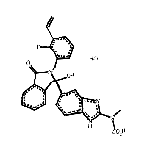 C=Cc1cccc(N2C(=O)c3ccccc3C2(O)c2ccc3[nH]c(N(C)C(=O)O)nc3c2)c1F.Cl